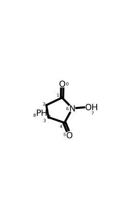 O=C1CCC(=O)N1O.P